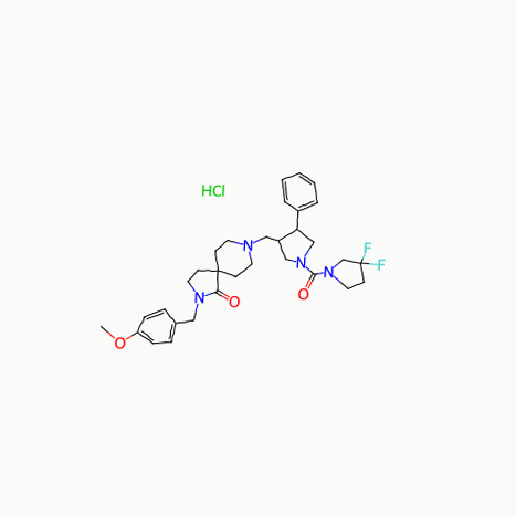 COc1ccc(CN2CCC3(CCN(CC4CN(C(=O)N5CCC(F)(F)C5)CC4c4ccccc4)CC3)C2=O)cc1.Cl